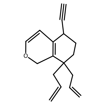 C#CC1CCC(CC=C)(CC=C)C2=C1C=COC2